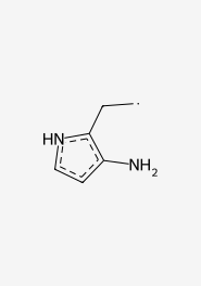 [CH2]Cc1[nH]ccc1N